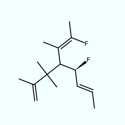 C=C(C)C(C)(C)C(/C(C)=C(/C)F)[C@@H](F)/C=C/C